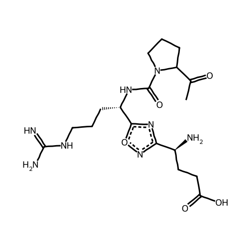 CC(=O)C1CCCN1C(=O)N[C@@H](CCCNC(=N)N)c1nc([C@@H](N)CCC(=O)O)no1